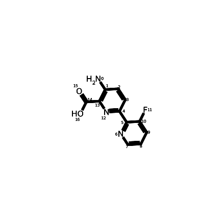 Nc1ccc(-c2ncccc2F)nc1C(=O)O